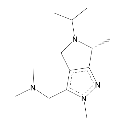 CC(C)N1Cc2c(nn(C)c2CN(C)C)[C@H]1C